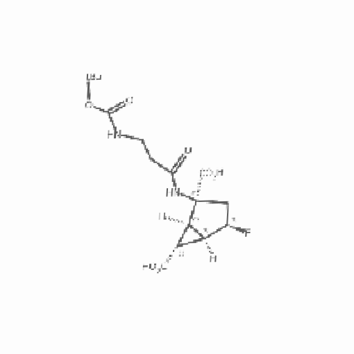 CC(C)(C)OC(=O)NCCC(=O)N[C@@]1(C(=O)O)C[C@@H](F)[C@H]2[C@H](C(=O)O)[C@H]21